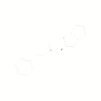 Cl.O=C(OCc1ccccc1)O[C@H]1C[C@H]2CCC[C@H]2N1